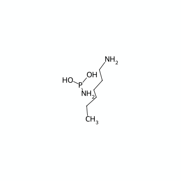 CCCCCCN.NP(O)O